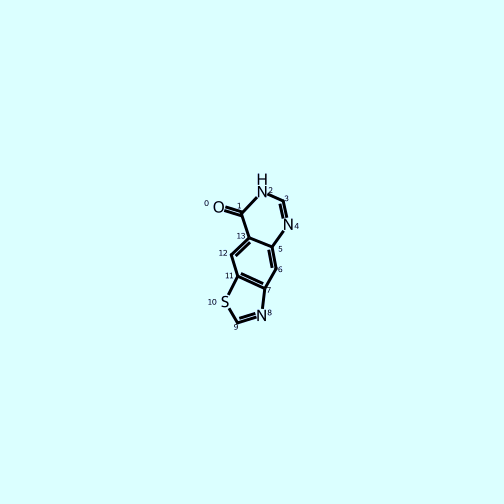 O=c1[nH]cnc2cc3ncsc3cc12